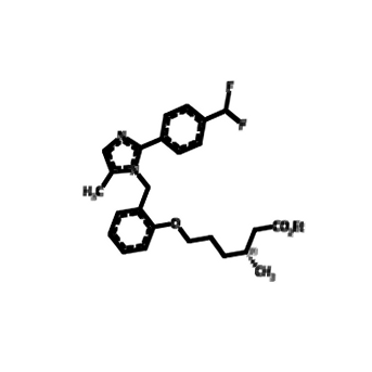 CCOC(=O)C[C@H](C)CCCOc1ccccc1Cn1c(C)cnc1-c1ccc(C(F)F)cc1